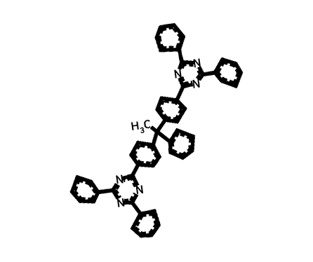 CC(c1ccccc1)(c1ccc(-c2nc(-c3ccccc3)nc(-c3ccccc3)n2)cc1)c1ccc(-c2nc(-c3ccccc3)nc(-c3ccccc3)n2)cc1